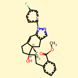 COC(=O)c1ccccc1CC[C@]1(O)CCC2=Cc3c(cnn3-c3ccc(F)cc3)C[C@@]21C